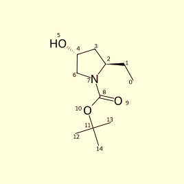 CC[C@@H]1C[C@@H](O)CN1C(=O)OC(C)(C)C